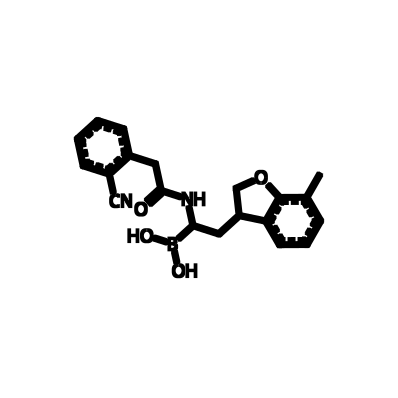 Cc1cccc2c1OCC2CC(NC(=O)Cc1ccccc1C#N)B(O)O